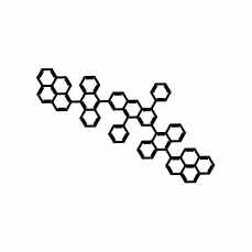 c1ccc(-c2cc(-c3c4ccccc4c(-c4ccc5ccc6cccc7ccc4c5c67)c4ccccc34)cc3c(-c4ccccc4)c4cc(-c5c6ccccc6c(-c6ccc7ccc8cccc9ccc6c7c89)c6ccccc56)ccc4cc23)cc1